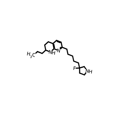 CCCC1CCc2ccc(CCCCCC3(F)CCNC3)nc2N1